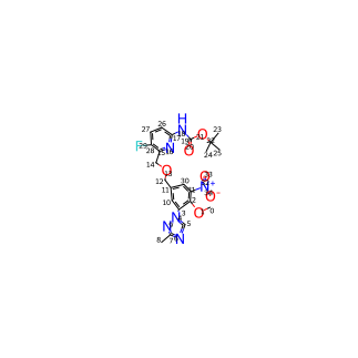 COc1c(-n2cnc(C)n2)cc(COCc2nc(NC(=O)OC(C)(C)C)ccc2F)cc1[N+](=O)[O-]